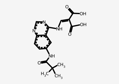 CC(C)(C)C(=O)Nc1ccc2ncnc(NC=C(C(=O)O)C(=O)O)c2c1